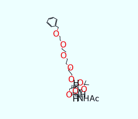 CC(=O)N[C@H]1[C@H]2OC[C@](COCCOCCOCCOCCOCc3ccccc3)(O2)[C@@H]2OC(C)(C)O[C@H]12